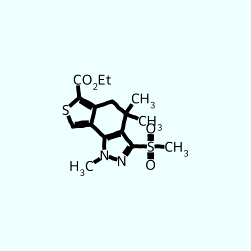 CCOC(=O)c1scc2c1CC(C)(C)c1c(S(C)(=O)=O)nn(C)c1-2